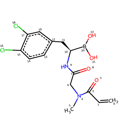 C=CC(=O)N(C)CC(=O)N[C@@H](Cc1ccc(Cl)c(Cl)c1)B(O)O